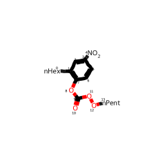 CCCCCCc1cc([N+](=O)[O-])ccc1OC(=O)OOCCCCC